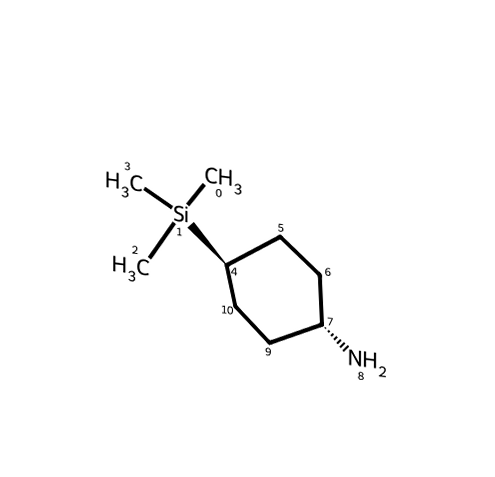 C[Si](C)(C)[C@H]1CC[C@H](N)CC1